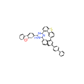 c1cc(-c2ccc3sc4cccc(C5=NC(C6=CC=C7C8=C(CCC=C8)OC7C6)NC(c6ccccc6)=N5)c4c3c2)cc(-c2ccc(-c3ccccc3)cc2)c#1